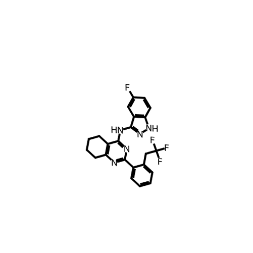 Fc1ccc2[nH]nc(Nc3nc(-c4ccccc4CC(F)(F)F)nc4c3CCCC4)c2c1